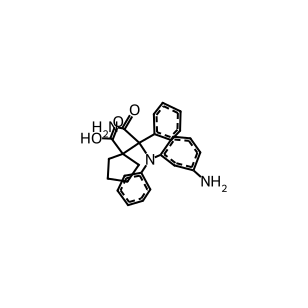 NC(=O)C(c1ccccc1)(N(c1ccccc1)c1cccc(N)c1)C1(C(=O)O)CCCC1